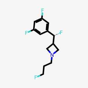 FCCCN1CC([C@@H](F)c2cc(F)cc(F)c2)C1